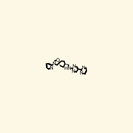 c1ccc(N2CO[C@]3(CC[C@H](CNc4ncc(-c5ncccn5)cn4)CC3)C2)nc1